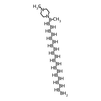 BBBBBBBBBBBBBBBBBBBBB(C)N1CCN(C)CC1